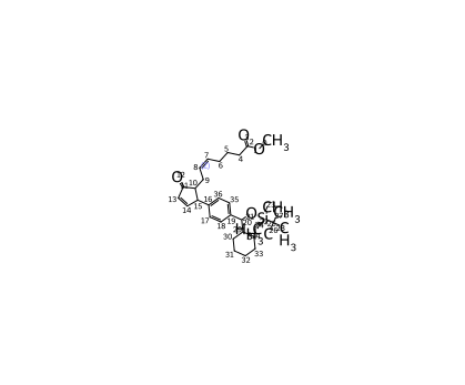 COC(=O)CCC/C=C\CC1C(=O)C=CC1c1ccc(C(O[Si](C)(C)C(C)(C)C)C2CCCCC2)cc1